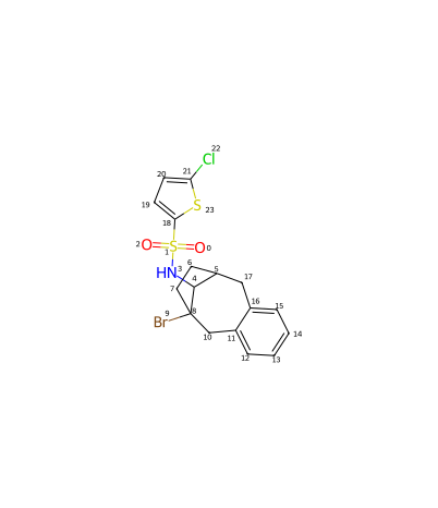 O=S(=O)(NC1C2CCC1(Br)Cc1ccccc1C2)c1ccc(Cl)s1